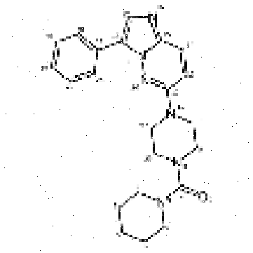 O=C(N1CCCCC1)N1CCN(c2ccc3ncc(-c4ccccc4)n3n2)CC1